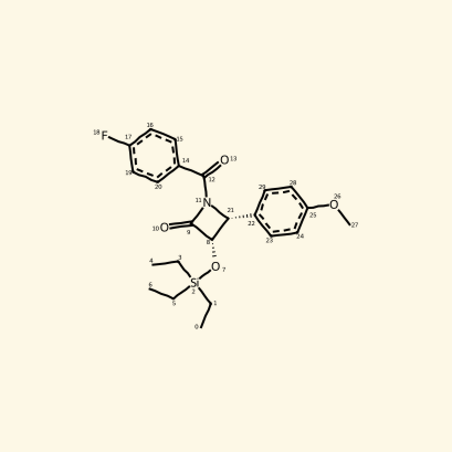 CC[Si](CC)(CC)O[C@@H]1C(=O)N(C(=O)c2ccc(F)cc2)[C@@H]1c1ccc(OC)cc1